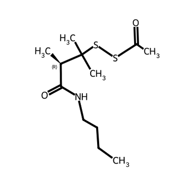 CCCCNC(=O)[C@@H](C)C(C)(C)SSC(C)=O